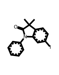 CC1(C)C(=O)N(c2ccccc2)c2cc(I)ccc21